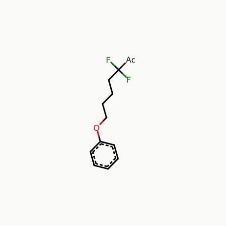 CC(=O)C(F)(F)CCCCOc1ccccc1